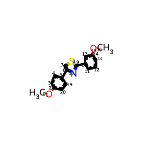 COc1ccc(-c2csc(-c3cccc(OC)c3)n2)cc1